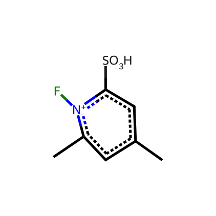 Cc1cc(C)[n+](F)c(S(=O)(=O)O)c1